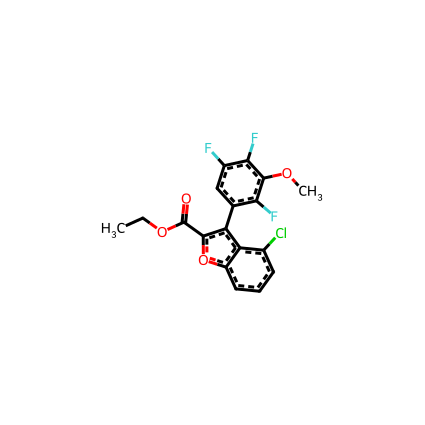 CCOC(=O)c1oc2cccc(Cl)c2c1-c1cc(F)c(F)c(OC)c1F